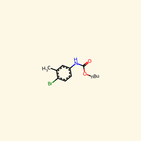 CCCCOC(=O)Nc1ccc(Br)c(C)c1